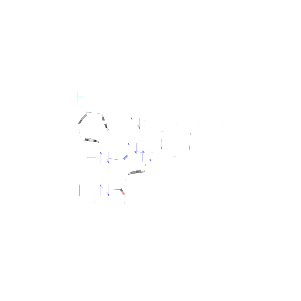 N#CC1CC(O)CCC1n1cc(C(N)=O)c(Nc2ccc(F)cc2)n1